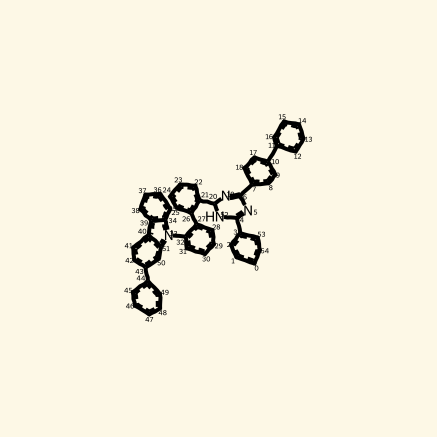 c1ccc(C2=NC(c3ccc(-c4ccccc4)cc3)=NC(c3ccccc3-c3ccccc3-n3c4ccccc4c4ccc(-c5ccccc5)cc43)N2)cc1